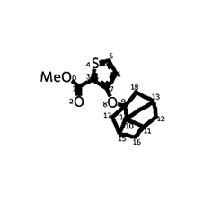 COC(=O)c1sccc1OC12CC3CC(CC(C3)C1)C2